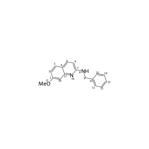 COc1ccc2ccc(NCc3ccccc3)nc2c1